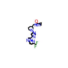 O=C(NCC1CCCN(c2cc(-c3cnc4ccc(C(F)F)nn34)ncn2)C1)C1CC1